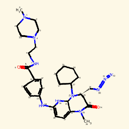 CN1CCN(CCNC(=O)c2ccc(NC3=CC=C4C(N3)N(C3CCCCC3)[C@H](CN=[N+]=[N-])C(=O)N4C)cc2)CC1